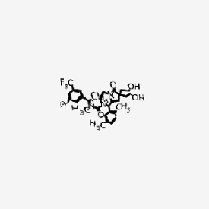 Cc1ccc(C)c(C2C3CC(CCO)(CCO)C(=O)N3CCN2C(=O)N(C)[C@H](C)c2cc(C(C)C)cc(C(F)(F)F)c2)c1